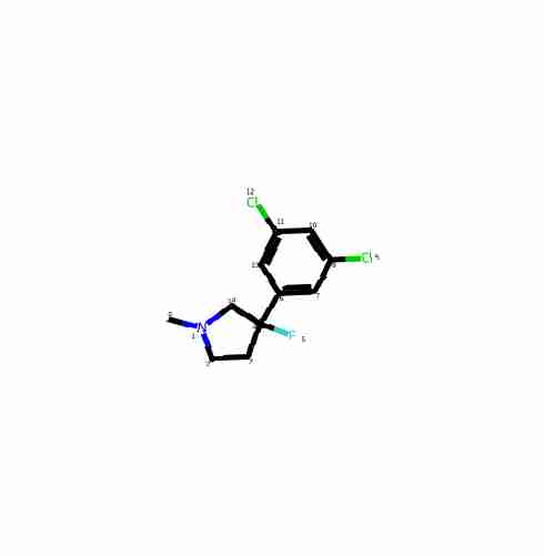 CN1CCC(F)(c2cc(Cl)cc(Cl)c2)C1